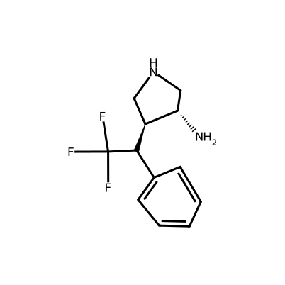 N[C@H]1CNC[C@@H]1C(c1ccccc1)C(F)(F)F